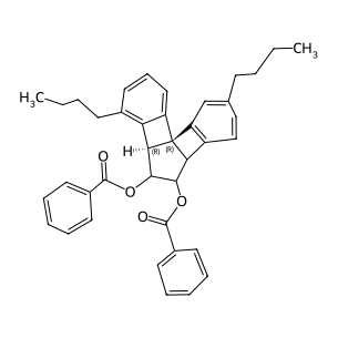 CCCCc1ccc2c(c1)[C@]13c4cccc(CCCC)c4[C@@H]1C(OC(=O)c1ccccc1)C(OC(=O)c1ccccc1)C23